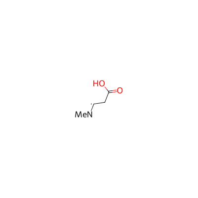 CN[CH]CC(=O)O